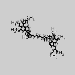 CCCCC(CC)Cc1cccc(OP(=O)(O)OCCCCCCCCOP(=O)(O)Oc2cccc(CC(CC)CCCC)c2CC(CC)CCCC)c1CC(CC)CCCC